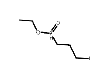 CCO[PH](=O)CCCI